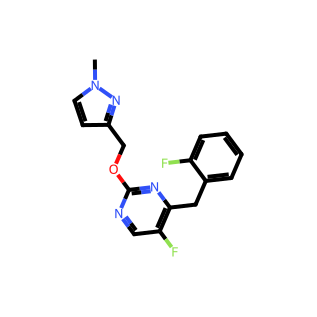 Cn1ccc(COc2ncc(F)c(Cc3ccccc3F)n2)n1